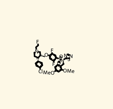 COc1ccc(CN(c2ncns2)S(=O)(=O)c2cc(F)c(OC[C@@H]3CN(CCF)CC[C@H]3c3ccc(Cl)cc3)cc2F)c(OC)c1